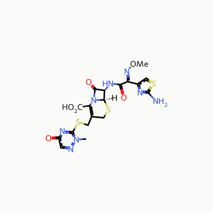 CON=C(C(=O)N[C@@H]1C(=O)N2C(C(=O)O)=C(CSc3nc(=O)cnn3C)CS[C@H]12)c1csc(N)n1